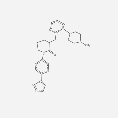 CN1CCN(c2cccnc2CC2CCCN(c3ccc(-c4ccon4)cc3)C2=O)CC1